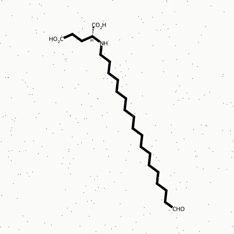 O=CCCCCCCCCCCCCCCCCCN[C@H](CCC(=O)O)C(=O)O